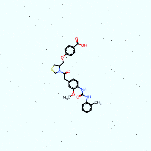 COc1cc(CC(=O)N2CSCC2COc2ccc(C(=O)O)cc2)ccc1NC(=O)Nc1ccccc1C